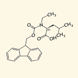 CCN(C(=O)OCC1c2ccccc2-c2ccccc21)[C@@H](CC(C)C)C(=O)O